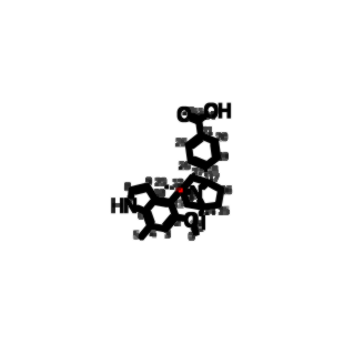 COc1cc(C)c2[nH]ccc2c1CN1[C@@H]2CC[C@]1(c1ccc(C(=O)O)cc1)C[C@@H](C)C2